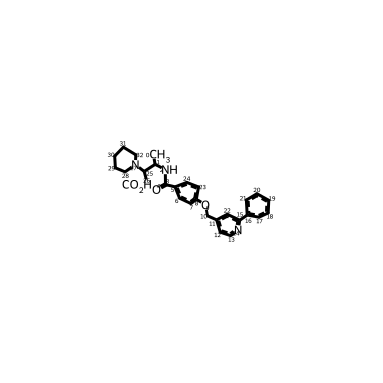 CC(NC(=O)c1ccc(OCc2ccnc(-c3ccccc3)c2)cc1)C(C(=O)O)N1CCCCC1